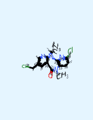 CCN1c2ncc(CCl)cc2C(=O)N(C)c2ccc(Cl)nc21